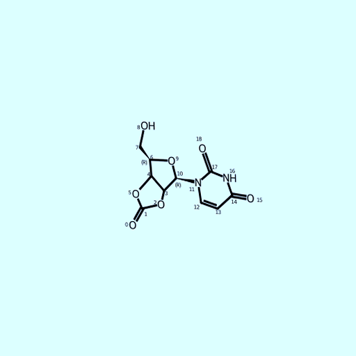 O=C1OC2C(O1)[C@@H](CO)O[C@H]2n1ccc(=O)[nH]c1=O